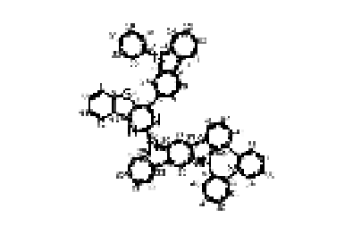 C1=CC2Sc3c(-c4ccc5c6ccccc6n(-c6ccccc6)c5c4)nc(-n4c5ccccc5c5cc6c(cc54)c4cccc5c4n6-c4ccccc4-c4ccccc4-5)nc3C2C=C1